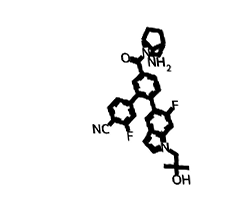 CC(C)(O)Cn1ccc2cc(-c3ccc(C(=O)N4CC5CCC4C5N)cc3-c3ccc(C#N)c(F)c3)c(F)cc21